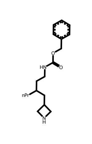 CCCC(CCNC(=O)OCc1ccccc1)CC1CNC1